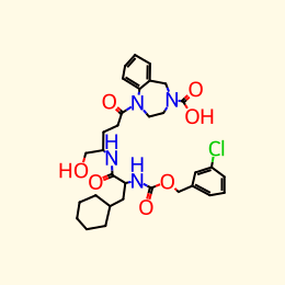 O=C(NC(CC1CCCCC1)C(=O)NC(CO)CCC(=O)N1CCN(C(=O)O)Cc2ccccc21)OCc1cccc(Cl)c1